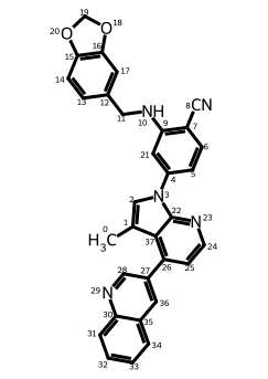 Cc1cn(-c2ccc(C#N)c(NCc3ccc4c(c3)OCO4)c2)c2nccc(-c3cnc4ccccc4c3)c12